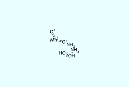 N.N.OO.[O]=[Mn]=[O]